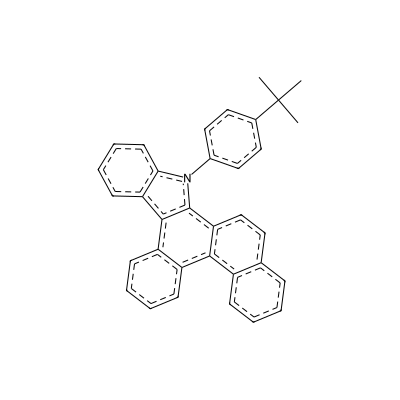 CC(C)(C)c1ccc(-n2c3ccccc3c3c4ccccc4c4c5ccccc5ccc4c32)cc1